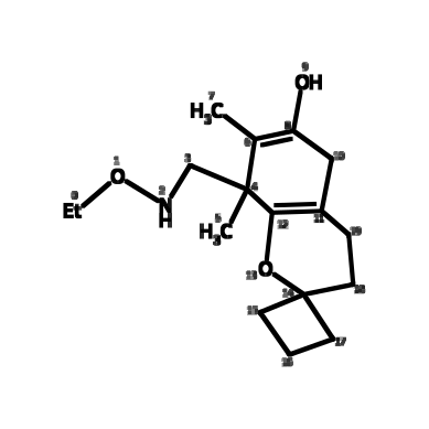 CCONCC1(C)C(C)=C(O)CC2=C1OC1(CCC1)CC2